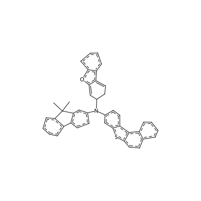 CC1(C)c2ccccc2-c2ccc(N(c3ccc4c(c3)sc3ccc5ccccc5c34)C3C=c4oc5ccccc5c4=CC3)cc21